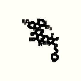 Cc1c(-c2cc(C(F)(F)F)ccc2NC(=O)C2=C(O)[C@H](C(C)C)N(C)N(Cc3ccc(OCCN4CCOCC4)c(F)c3F)C2=O)ncnc1C(F)(F)F